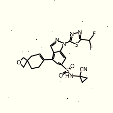 N#CC1(NS(=O)(=O)c2cc(C3=CCC4(CC3)COC4)c3cnn(-c4nnc(C(F)F)s4)c3c2)CC1